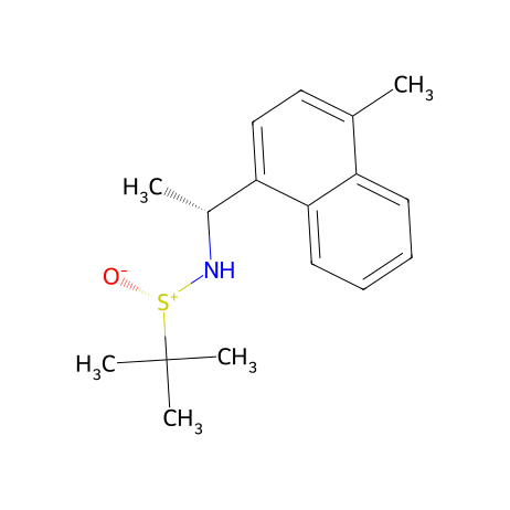 Cc1ccc([C@@H](C)N[S@@+]([O-])C(C)(C)C)c2ccccc12